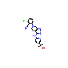 CC(C)(O)c1ccc(Nc2ncnc3c2CCN(c2cccc(Cl)c2C#N)C3)nc1